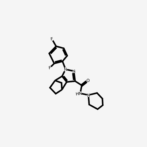 O=C(NN1CCCCC1)c1nn(-c2ccc(F)cc2F)c2c1C1CCC2C1